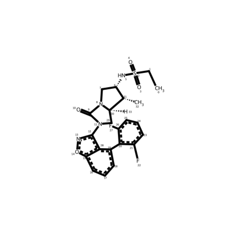 CCS(=O)(=O)N[C@H]1CN2C(=O)N(c3noc4cccc(-c5c(F)cccc5F)c34)C[C@@H]2[C@H]1C